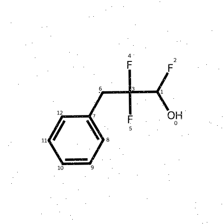 OC(F)C(F)(F)[CH]c1ccccc1